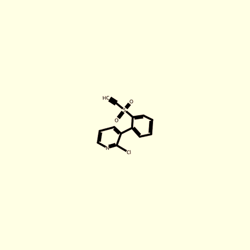 C#CS(=O)(=O)c1ccccc1-c1cccnc1Cl